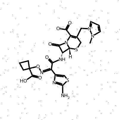 Cn1ccc[n+]1CC1=C(C(=O)[O-])N2C(=O)[C@@H](NC(=O)/C(=N\OC3(C(=O)O)CCC3)c3csc(N)n3)[C@H]2SC1